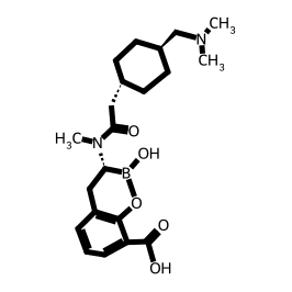 CN(C)C[C@H]1CC[C@H](CC(=O)N(C)[C@H]2Cc3cccc(C(=O)O)c3OB2O)CC1